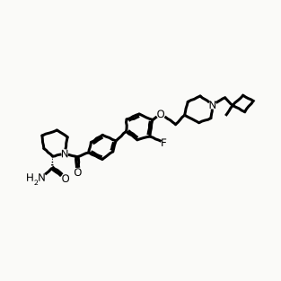 CC1(CN2CCC(COc3ccc(-c4ccc(C(=O)N5CCCC[C@H]5C(N)=O)cc4)cc3F)CC2)CCC1